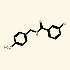 O=C(O)c1ccc(CNC(=O)c2cccc(Cl)c2)cc1